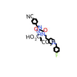 N#Cc1ccc(-c2nc(C(=O)NCCC3=CCN(Cc4ccc(F)cc4)CC3)no2)cc1.O=C(O)/C=C/C(=O)O